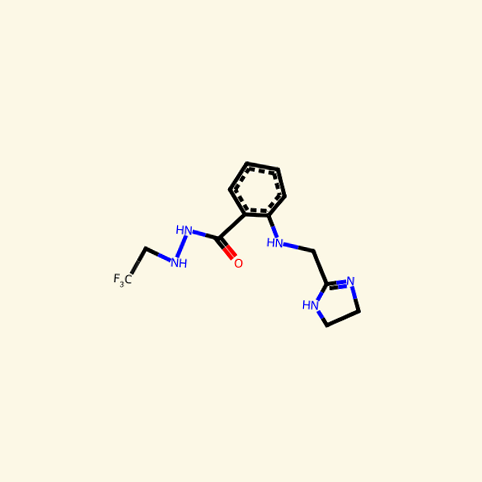 O=C(NNCC(F)(F)F)c1ccccc1NCC1=NCCN1